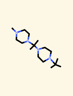 CN1CCN(C(C)(C)N2CCN(C(C)(C)C)CC2)CC1